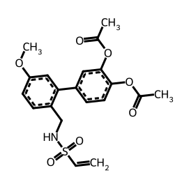 C=CS(=O)(=O)NCc1ccc(OC)cc1-c1ccc(OC(C)=O)c(OC(C)=O)c1